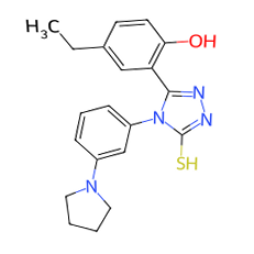 CCc1ccc(O)c(-c2nnc(S)n2-c2cccc(N3CCCC3)c2)c1